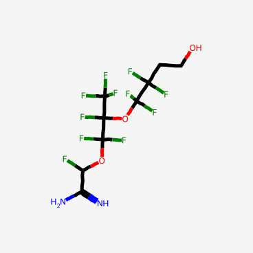 N=C(N)C(F)OC(F)(F)C(F)(OC(F)(F)C(F)(F)CCO)C(F)(F)F